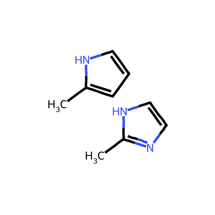 Cc1ccc[nH]1.Cc1ncc[nH]1